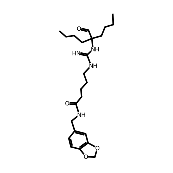 CCCCC(C=O)(CCCC)NC(=N)NCCCCC(=O)NCc1ccc2c(c1)OCO2